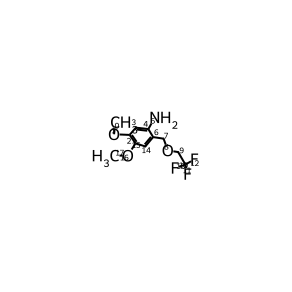 COc1cc(N)c(COCC(F)(F)F)cc1OC